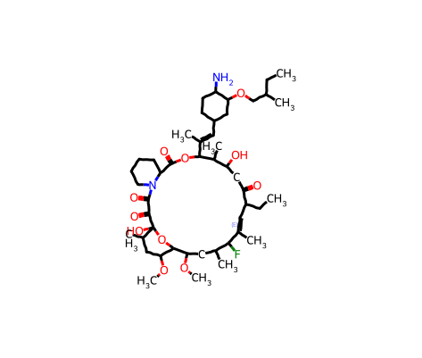 CCC(C)COC1CC(C=C(C)C2OC(=O)C3CCCCN3C(=O)C(=O)C3(O)OC(C(OC)CC(C)C(F)/C(C)=C/C(CC)C(=O)CC(O)C2C)C(OC)CC3C)CCC1N